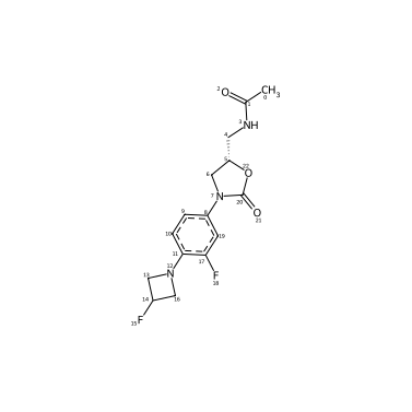 CC(=O)NC[C@H]1CN(c2ccc(N3CC(F)C3)c(F)c2)C(=O)O1